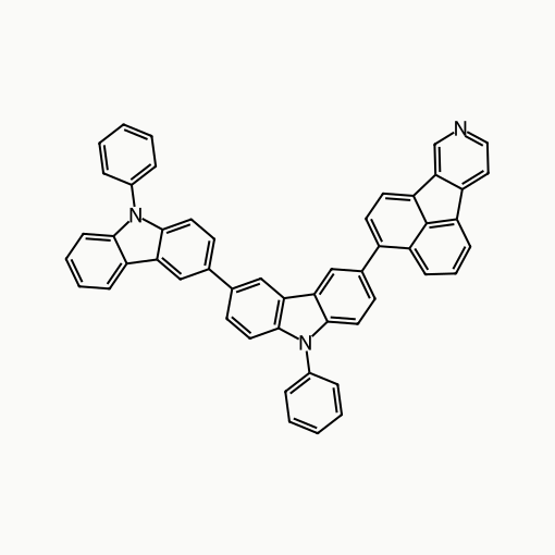 c1ccc(-n2c3ccccc3c3cc(-c4ccc5c(c4)c4cc(-c6ccc7c8c(cccc68)-c6ccncc6-7)ccc4n5-c4ccccc4)ccc32)cc1